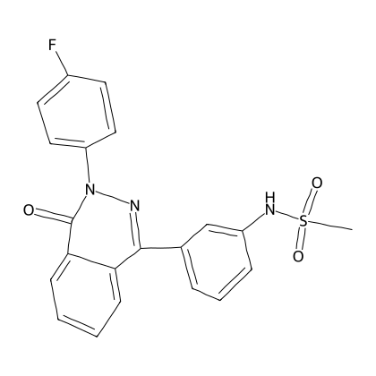 CS(=O)(=O)Nc1cccc(-c2nn(-c3ccc(F)cc3)c(=O)c3ccccc23)c1